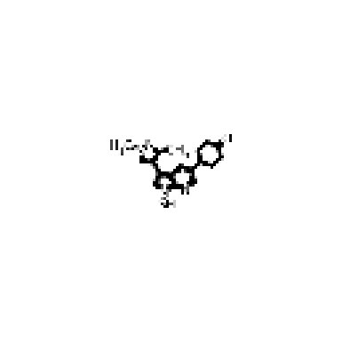 Cc1nn(C)cc1-c1cn(S)c2ncc(C3CCC(=O)CC3)cc12